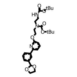 CC(C)(C)OC(=O)NCCN(CCOc1cccc(-c2cccc(C3OCCO3)c2)n1)C(=O)OC(C)(C)C